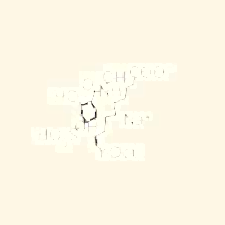 CCCCCCCC/C=C\CCCCCCCC(=O)[O-].O=C(NO)c1ccccc1O.O=S(=O)(O)O.[Na+]